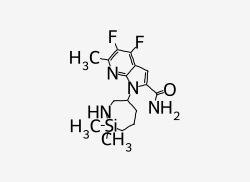 Cc1nc2c(cc(C(N)=O)n2C2CCC[Si](C)(C)NC2)c(F)c1F